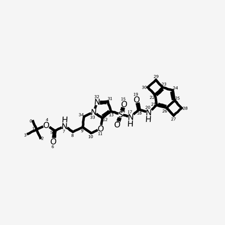 CC(C)(C)OC(=O)NCC1COc2c(S(=O)(=O)NC(=O)Nc3c4c(cc5c3CC5)CC4)cnn2C1